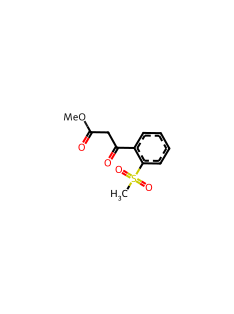 COC(=O)CC(=O)c1ccccc1S(C)(=O)=O